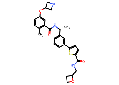 Cc1ccc(OC2CNC2)cc1C(=O)N[C@H](C)c1cccc(-c2ccc(C(=O)NCC3CCO3)s2)c1